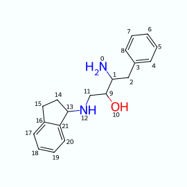 NC(Cc1ccccc1)C(O)CNC1CCc2ccccc21